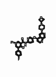 CC(C)n1cc(C(=O)Nc2ccc(Oc3ccnc4cnc(N5CCN(C6COC6)CC5)cc34)cn2)c(=O)c(-c2ccc(F)cc2)c1